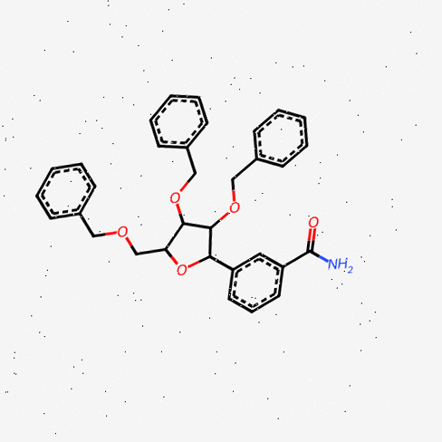 NC(=O)c1cccc(C2OC(COCc3ccccc3)C(OCc3ccccc3)C2OCc2ccccc2)c1